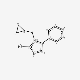 Sc1nnc(-c2ccncc2)n1CC1CC1